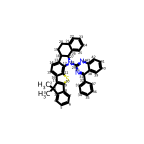 CC1(C)c2ccccc2-c2sc3c4c(ccc3c21)C1CCc2ccccc2C1N4c1nc(-c2ccccc2)c2ccccc2n1